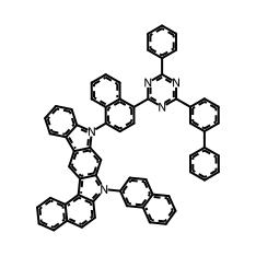 c1ccc(-c2cccc(-c3nc(-c4ccccc4)nc(-c4ccc(-n5c6ccccc6c6cc7c8c9ccccc9ccc8n(-c8ccc9ccccc9c8)c7cc65)c5ccccc45)n3)c2)cc1